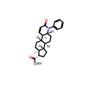 COC(=O)[C@H]1CC[C@H]2[C@@H]3CC[C@H]4N(c5ccccc5)C(=O)C=C[C@]4(C)[C@H]3CC[C@]12C